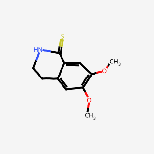 COc1cc2c(cc1OC)C(=S)NCC2